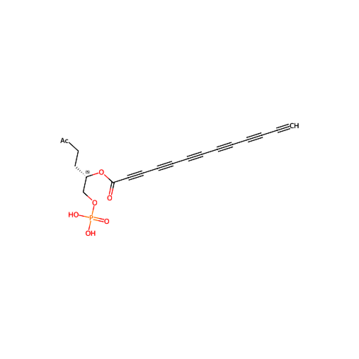 C#CC#CC#CC#CC#CC#CC(=O)O[C@@H](CCC(C)=O)COP(=O)(O)O